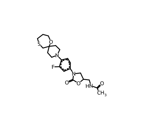 CC(=O)NCC1CN(c2ccc(N3CCC4(CC3)CSCCCO4)c(F)c2)C(=O)O1